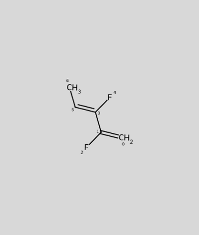 C=C(F)/C(F)=C/C